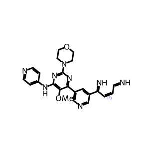 COc1c(Nc2ccncc2)nc(N2CCOCC2)nc1-c1cncc(C(=N)/C=C\C=N)c1